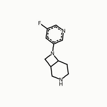 Fc1cncc(N2CC3CNCCC32)c1